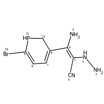 N#C/C(NN)=C(/N)C1=CC=C(Br)PC1